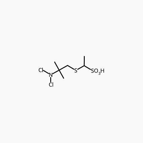 CC(SCC(C)(C)N(Cl)Cl)S(=O)(=O)O